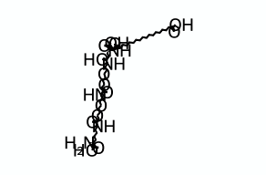 N[C@@H](CCCCNC(=O)COCCOCCNC(=O)COCCOCCNC(O)CC[C@H](NC(=O)CCCCCCCCCCCCCCCCC(=O)O)C(=O)O)C(=O)O